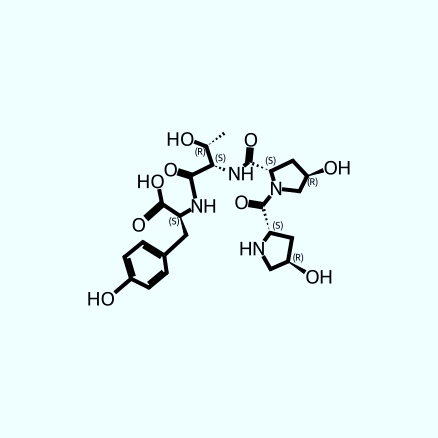 C[C@@H](O)[C@H](NC(=O)[C@@H]1C[C@@H](O)CN1C(=O)[C@@H]1C[C@@H](O)CN1)C(=O)N[C@@H](Cc1ccc(O)cc1)C(=O)O